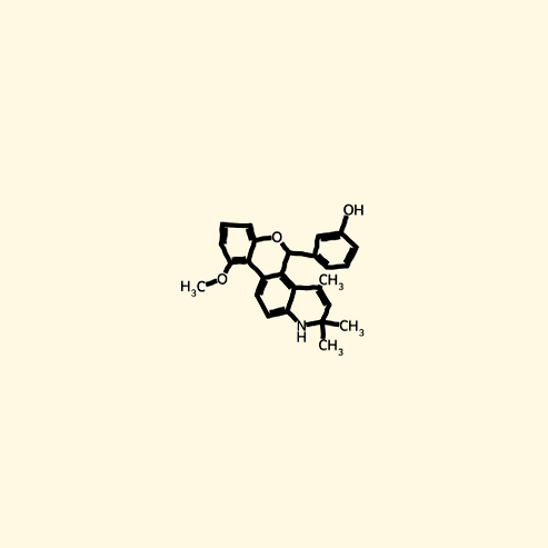 COc1cccc2c1-c1ccc3c(c1C(c1cccc(O)c1)O2)C(C)=CC(C)(C)N3